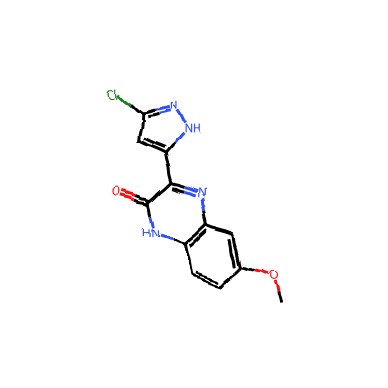 COc1ccc2[nH]c(=O)c(-c3cc(Cl)n[nH]3)nc2c1